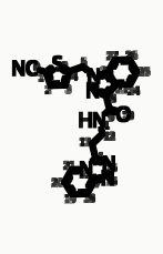 N#Cc1ccc(Cn2nc(C(=O)NCCc3nnc4ccccn34)c3ccccc32)s1